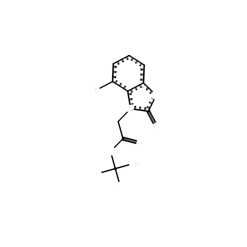 CC(C)(C)OC(=O)Cn1c(=O)oc2cccc(F)c21